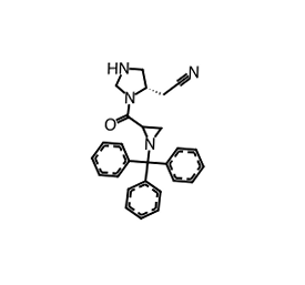 N#CC[C@H]1CNCN1C(=O)C1CN1C(c1ccccc1)(c1ccccc1)c1ccccc1